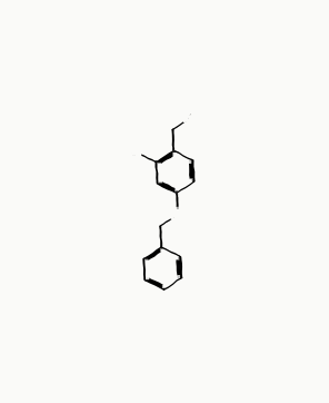 CC(=O)Cc1ccc(OCc2ccccc2)cc1Br